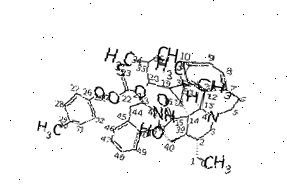 CC[C@H]1CN2CCc3ccccc3[C@@H]2[C@@](C(=O)O)(C2C(C(OC(=S)OOc3ccc(C)cc3)C(C)C)C2(C)C)[C@@H]1C[C@H]1NCCc2ccccc21